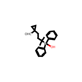 CC(C)(CCC1(C=O)CC1)[Si](O)(c1ccccc1)c1ccccc1